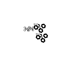 CC[P+](c1ccccc1)(c1ccccc1)c1ccccc1.CC[P+](c1ccccc1)(c1ccccc1)c1ccccc1.[Cl][Mn-]([Cl])([Cl])[Cl].[Cl][Mn-]([Cl])([Cl])[Cl]